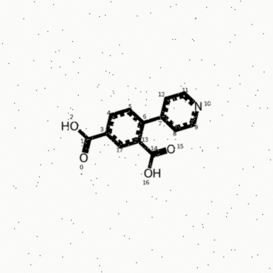 O=C(O)c1ccc(-c2ccncc2)c(C(=O)O)c1